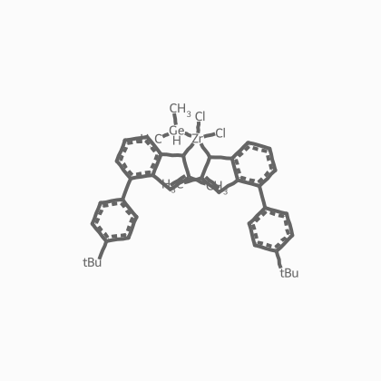 CC1=Cc2c(-c3ccc(C(C)(C)C)cc3)cccc2[CH]1[Zr]([Cl])([Cl])([CH]1C(C)=Cc2c(-c3ccc(C(C)(C)C)cc3)cccc21)[GeH]([CH3])[CH3]